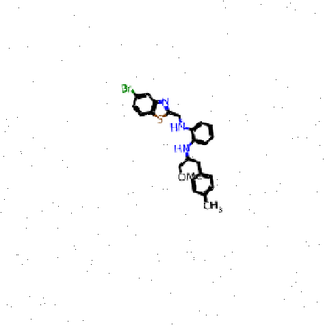 COCC(Cc1ccc(C)cc1)Nc1ccccc1NCc1nc2cc(Br)ccc2s1